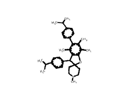 Cc1c(C)c(-c2ccc(C(C)C)cc2)c(C)c2c1OC1(CCN(C)CC1)C2c1ccc(C(C)C)cc1